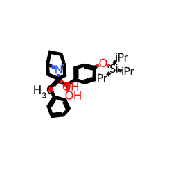 CC(C(O)c1ccc(O[Si](C(C)C)(C(C)C)C(C)C)cc1)N1C2CCC1CC(O)(Cc1ccccc1)C2